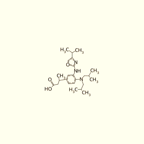 CC(C)CN(CC(C)C)c1ccc(C(C)CC(=O)O)cc1Nc1nc(C(C)C)co1